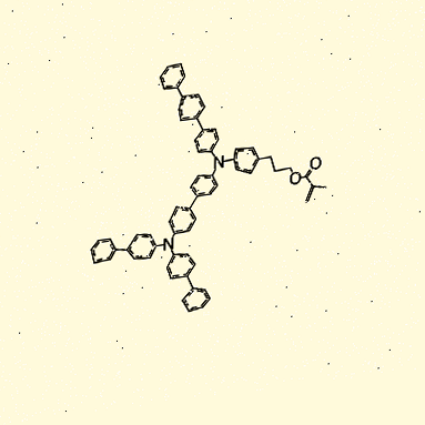 C=C(C)C(=O)OCCCc1ccc(N(c2ccc(-c3ccc(-c4ccccc4)cc3)cc2)c2ccc(-c3ccc(N(c4ccc(-c5ccccc5)cc4)c4ccc(-c5ccccc5)cc4)cc3)cc2)cc1